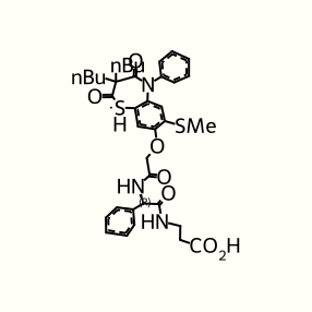 CCCCC1(CCCC)C(=O)[SH]c2cc(OCC(=O)N[C@@H](C(=O)NCCC(=O)O)c3ccccc3)c(SC)cc2N(c2ccccc2)C1=O